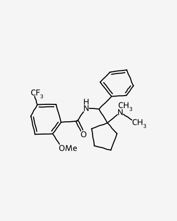 COc1ccc(C(F)(F)F)cc1C(=O)NC(c1ccccc1)C1(N(C)C)CCCC1